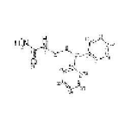 NC(=O)NCCC(c1ccccc1)c1ccccc1